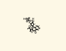 CC(=O)c1coc(C(=O)c2cncnc2N[C@@H]2C[C@H](CNS(=O)(=O)O)[C@@H](O)C2)c1